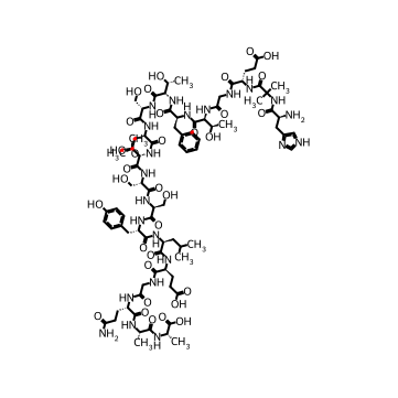 CC(C)C[C@H](NC(=O)[C@H](Cc1ccc(O)cc1)NC(=O)[C@H](CO)NC(=O)[C@H](CO)NC(=O)[C@@H](NC(=O)[C@@H](CC(=O)O)NC(=O)[C@H](CO)NC(=O)[C@@H](NC(=O)[C@H](Cc1ccccc1)NC(=O)[C@@H](NC(=O)CNC(=O)[C@H](CCC(=O)O)NC(=O)C(C)(C)NC(=O)[C@@H](N)Cc1c[nH]cn1)[C@@H](C)O)[C@@H](C)O)C(C)C)C(=O)N[C@@H](CCC(=O)O)C(=O)NCC(=O)N[C@@H](CCC(N)=O)C(=O)N[C@@H](C)C(=O)N[C@@H](C)C(=O)O